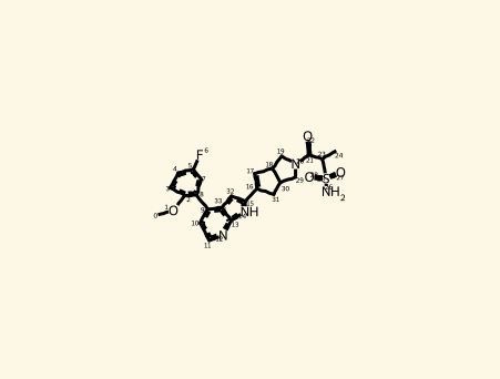 COc1ccc(F)cc1-c1ccnc2[nH]c(C3=CC4CN(C(=O)C(C)S(N)(=O)=O)CC4C3)cc12